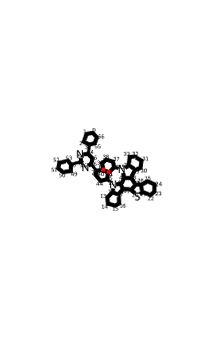 c1ccc(-c2cc(-c3ccc(-n4c5ccccc5c5c6sc7ccccc7c6c6c7ccccc7n(-c7ccccc7)c6c54)cc3)nc(-c3ccccc3)n2)cc1